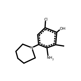 Cc1c(N)c(N2CCCCC2)cc(Cl)c1O